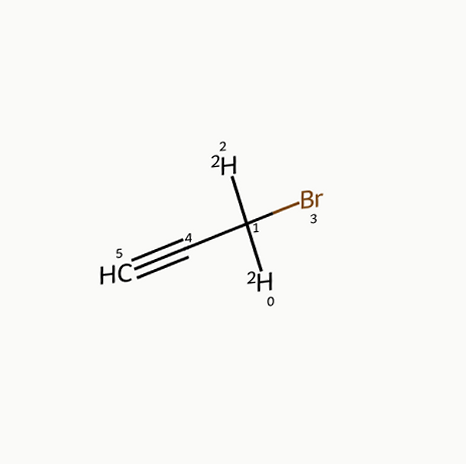 [2H]C([2H])(Br)C#C